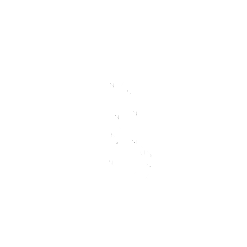 CC(C)(CC[C@@H](Nc1nc(-c2cnc3ccc(F)cn23)ncc1N)c1ccc(F)cn1)[Si](O)(c1ccccc1)c1ccccc1